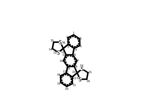 c1ccc2c(c1)-c1cc3c(cc1C21SCCS1)-c1ccccc1C31SCCS1